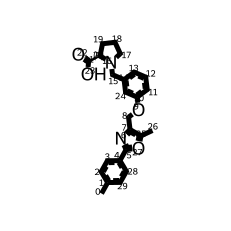 Cc1ccc(-c2nc(COc3cccc(CN4CCC[C@@H]4C(=O)O)c3)c(C)o2)cc1